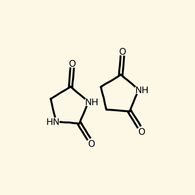 O=C1CCC(=O)N1.O=C1CNC(=O)N1